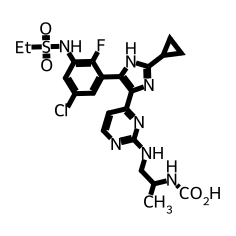 CCS(=O)(=O)Nc1cc(Cl)cc(-c2[nH]c(C3CC3)nc2-c2ccnc(NCC(C)NC(=O)O)n2)c1F